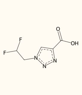 O=C(O)c1cn(CC(F)F)nn1